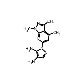 Cc1cc(-n2ncc(N)c2N)nc2c1c(C)nn2C